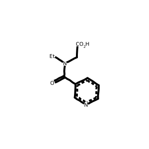 CCN(CC(=O)O)C(=O)c1cccnc1